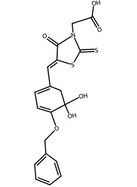 O=C(O)CN1C(=O)C(=CC2=CC=C(OCc3ccccc3)C(O)(O)C2)SC1=S